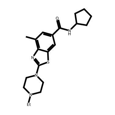 CCN1CCN(c2nc3c(C)cc(C(=O)NC4CCCC4)cc3s2)CC1